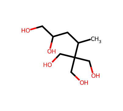 CC(CC(O)CO)C(CO)(CO)CO